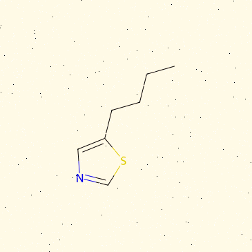 CCCCc1cncs1